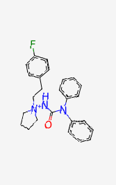 O=C(N[N+]1(CCc2ccc(F)cc2)CCCC1)N(c1ccccc1)c1ccccc1